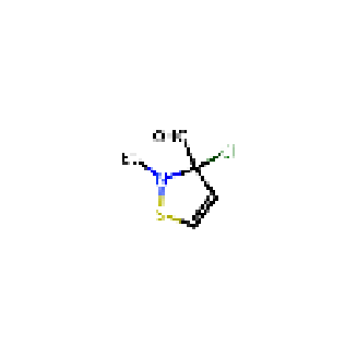 CCN1SC=CC1(Cl)C=O